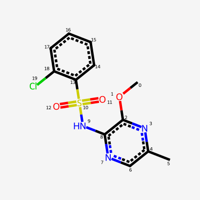 COc1nc(C)cnc1NS(=O)(=O)c1ccccc1Cl